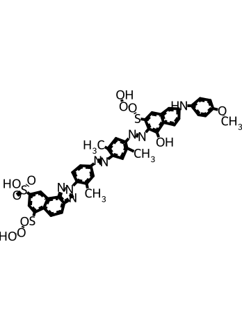 COc1ccc(Nc2ccc3c(O)c(N=Nc4cc(C)c(N=Nc5ccc(-n6nc7ccc8c(SOOO)cc(S(=O)(=O)O)cc8c7n6)c(C)c5)cc4C)c(SOOO)cc3c2)cc1